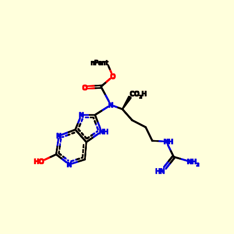 CCCCCOC(=O)N(c1nc2nc(O)ncc2[nH]1)[C@H](CCCNC(=N)N)C(=O)O